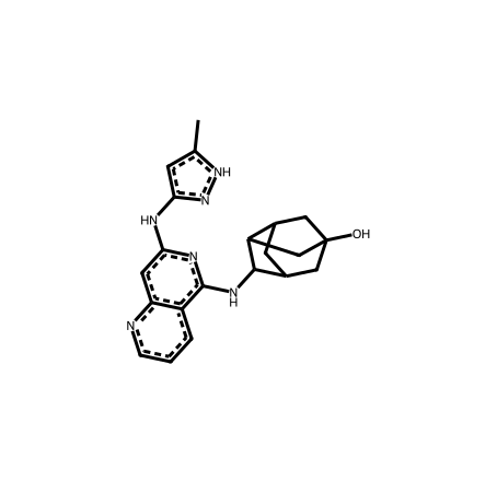 Cc1cc(Nc2cc3ncccc3c(NC3C4CC5CC(O)(C4)CC53)n2)n[nH]1